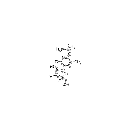 Cc1cn([C@@H]2O[C@](F)(CO)[C@@H](O)[C@H]2O)c(=O)nc1OC(C)C